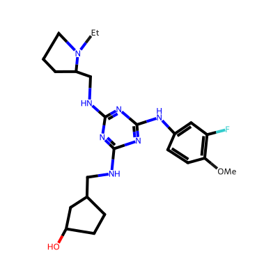 CCN1CCCC1CNc1nc(NCC2CCC(O)C2)nc(Nc2ccc(OC)c(F)c2)n1